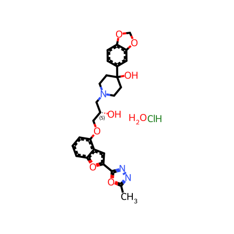 Cc1nnc(-c2cc3c(OC[C@@H](O)CN4CCC(O)(c5ccc6c(c5)OCO6)CC4)cccc3o2)o1.Cl.O